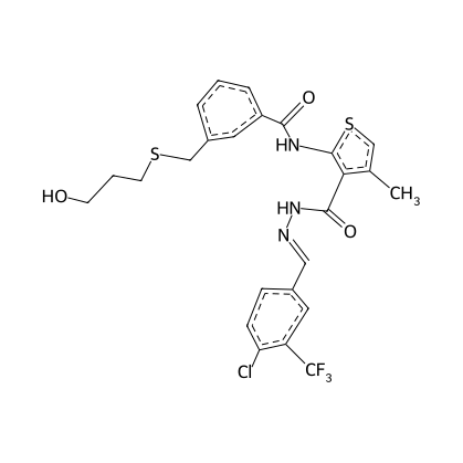 Cc1csc(NC(=O)c2cccc(CSCCCO)c2)c1C(=O)N/N=C/c1ccc(Cl)c(C(F)(F)F)c1